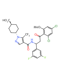 COc1cc(Cl)cc(Cl)c1C(=O)CC(NC(=O)c1cnn([C@H]2CC[C@H](C(=O)O)CC2)c1C(F)(F)F)c1cc(F)cc(F)c1